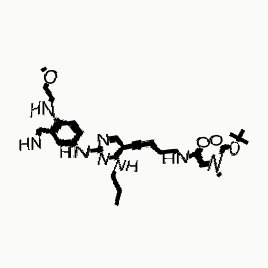 CCCNc1nc(Nc2ccc(NCCOC)c(C=N)c2)ncc1C#CCCCNC(=O)CN(C)C(=O)OC(C)(C)C